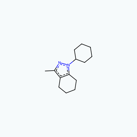 Cc1nn(C2CCCCC2)c2c1CCCC2